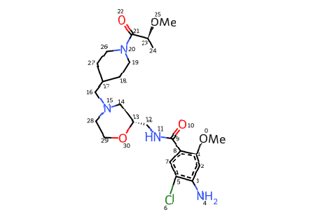 COc1cc(N)c(Cl)cc1C(=O)NC[C@H]1CN(CC2CCN(C(=O)[C@H](C)OC)CC2)CCO1